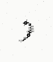 Cc1cc(F)c(CN2CC(NC(=O)Nc3nc(=O)c(-c4ccc(CNCCCN)cc4)c[nH]3)C2)cc1F